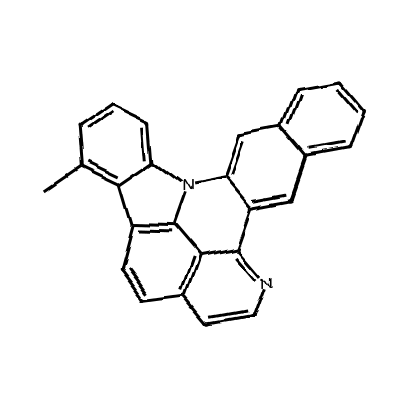 Cc1cccc2c1c1ccc3ccnc4c5cc6ccccc6cc5n2c1c34